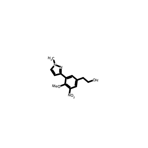 COc1c(-c2ccn(C)n2)cc(CCO)cc1[N+](=O)[O-]